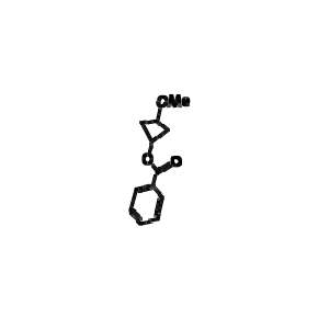 COC1CC(OC(=O)c2ccccc2)C1